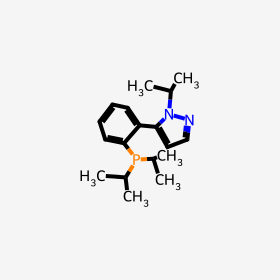 CC(C)n1nccc1-c1ccccc1P(C(C)C)C(C)C